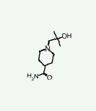 CC(C)(O)CN1CCC(C(N)=O)CC1